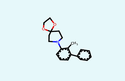 Cc1c(-c2ccccc2)cccc1N1CCC2(CC1)OCCO2